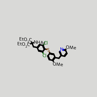 CCOC(=O)C(Cc1cc(Cl)c(Sc2ccc(OC)c(Cc3ccc(OC)nc3)c2)c(Cl)c1)(NC(C)=O)C(=O)OCC